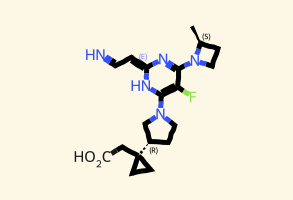 C[C@H]1CCN1C1=N/C(=C/C=N)NC(N2CC[C@H](C3(CC(=O)O)CC3)C2)=C1F